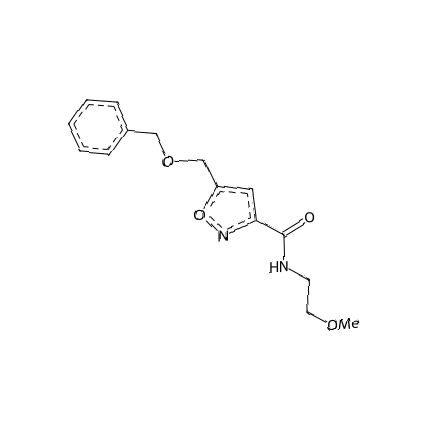 COCCNC(=O)c1cc(COCc2ccccc2)on1